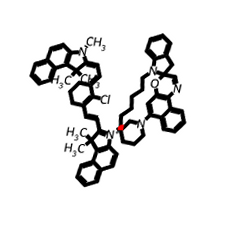 CN1/C(=C/C=C2\CCCC(/C=C/C3=[N+](CCCCCCN4c5ccccc5CC45C=Nc4c(cc(N6CCCCC6)c6ccccc46)O5)c4ccc5ccccc5c4C3(C)C)=C2Cl)C(C)(C)c2c1ccc1ccccc21